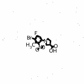 Cc1c(Br)c(F)cc(N2CCC(C(=O)O)C2)c1[N+](=O)[O-]